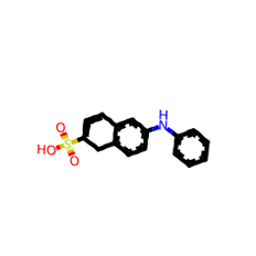 O=S(=O)(O)C1=C=Cc2cc(Nc3ccccc3)ccc2C1